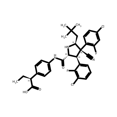 CC[C@H](C(=O)O)c1ccc(NC(=O)[C@@H]2N[C@@H](CC(C)(C)C)[C@](C#N)(c3ccc(Cl)cc3F)[C@H]2c2cccc(Cl)c2F)cc1